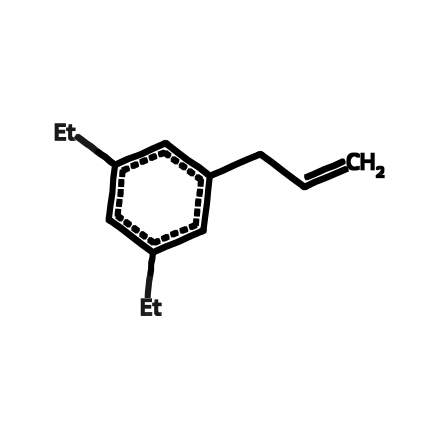 C=CCc1cc(CC)cc(CC)c1